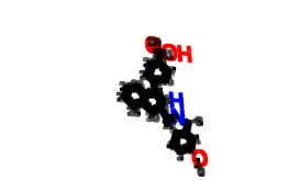 COc1cccc([C@@H](C)NC(C)c2cc(-c3ccc(C(=O)O)cc3)c3ccccc3c2)c1